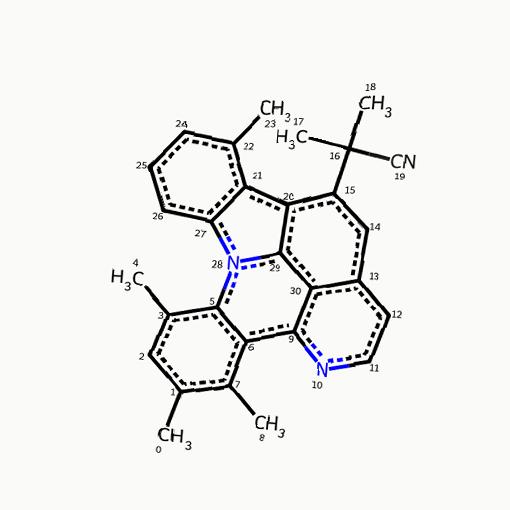 Cc1cc(C)c2c(c1C)c1nccc3cc(C(C)(C)C#N)c4c5c(C)cccc5n2c4c31